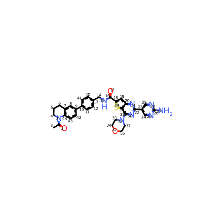 CC(=O)N1CCCc2cc(-c3ccc(CNC(=O)c4cc5nc(-c6cnc(N)nc6)nc(N6CCOCC6)c5s4)cc3)ccc21